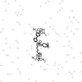 CC(C)(O)c1ccc(-c2cccc(N(CCCCCc3noc(C(C)(C)F)n3)C(=O)NC3CCS(=O)(=O)CC3)c2)cc1